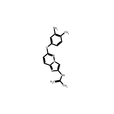 C=C(C)Nc1cn2nc(Oc3ccc(C)c(N)c3)ccc2n1